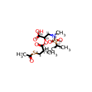 CC(=O)SC[C@@H](C)C(=O)OC(CN(C)S(=O)(=O)C(C)C)C(=O)O